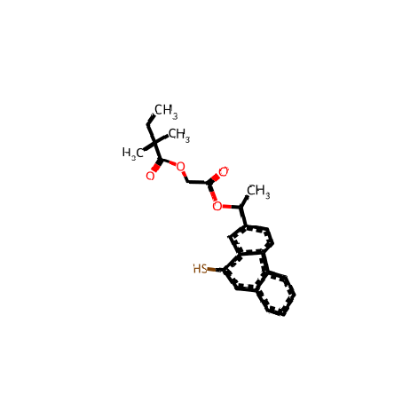 CCC(C)(C)C(=O)OCC(=O)OC(C)c1ccc2c(c1)c(S)cc1ccccc12